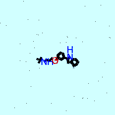 CC(C)(C)NCCCOc1cccc(-c2cc3[c]cccc3[nH]2)c1